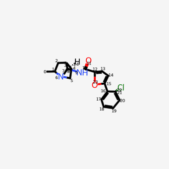 CC1CC2CCN1C[C@@H]2NC(=O)c1ccc(-c2ccccc2Cl)o1